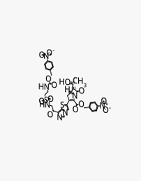 C[C@@H](O)[C@H]1C(=O)N2C(C(=O)OCc3ccc([N+](=O)[O-])cc3)=C(c3cn4cnc(C(=O)CNS(=O)(=O)CCNC(=O)OCc5ccc([N+](=O)[O-])cc5)c4s3)C[C@H]12